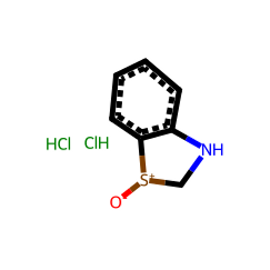 Cl.Cl.[O-][S+]1CNc2ccccc21